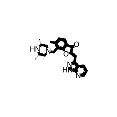 Cc1ccc2c(c1CN1C[C@@H](C)N[C@@H](C)C1)O/C(=C\c1n[nH]c3ncccc13)C2=O